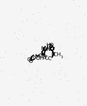 CN1CCCCCOc2cc3c(ncnc3cc2OC[C@H](O)CN2CCS(=O)(=O)CC2)Nc2c(ccc3c2OCO3)C1